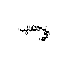 O=C(CCC(F)(F)F)NCc1cnn2cc(CNC(=O)c3cnn(CC4CC(F)(F)C4)n3)nc2c1